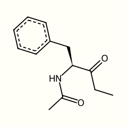 CCC(=O)[C@H](Cc1ccccc1)NC(C)=O